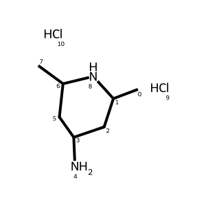 CC1CC(N)CC(C)N1.Cl.Cl